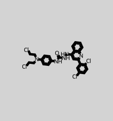 O=C(NNc1cc(-c2cc(Cl)ccc2Cl)nc2ccccc12)Nc1ccc(N(CCCl)CCCl)cc1